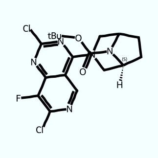 CC(C)(C)OC(=O)N1C2CC[C@H]1CN(c1nc(Cl)nc3c(F)c(Cl)ncc13)C2